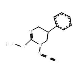 COC1=NCC(c2ccccc2)CN1N=C=O